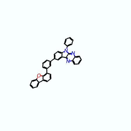 c1ccc(-n2c3ccc(-c4cccc(-c5cccc6c5oc5ccccc56)c4)cc3c3nc4ccccc4nc32)cc1